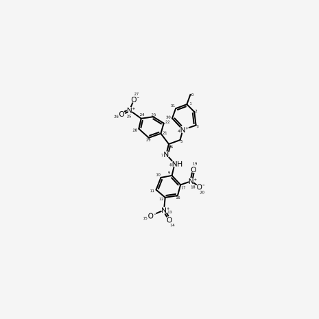 Cc1cc[n+](C/C(=N\Nc2ccc([N+](=O)[O-])cc2[N+](=O)[O-])c2ccc([N+](=O)[O-])cc2)cc1